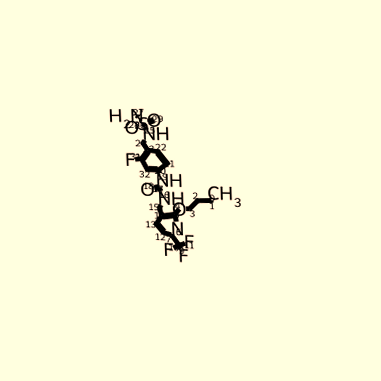 CCCCOc1nc(C(F)(F)F)ccc1CNC(=O)Nc1ccc(CNS(N)(=O)=O)c(F)c1